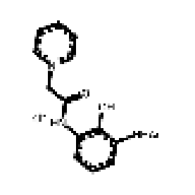 CC(=O)Nc1cccc(NC(=O)C[n+]2ccccc2)c1O.[Cl-]